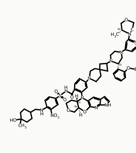 CC(C)Oc1ccccc1[C@H]1CN(c2ccnc(N3CCOC[C@H]3C)c2)CCN1C1CC2(CCN(c3ccc(C(=O)NS(=O)(=O)c4ccc(NCC5CCC(C)(O)CC5)c([N+](=O)[O-])c4)c(N4c5cc6cc[nH]c6nc5O[C@H]5COCC[C@@H]54)c3)CC2)C1